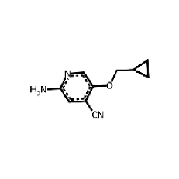 N#Cc1cc(N)ncc1OCC1CC1